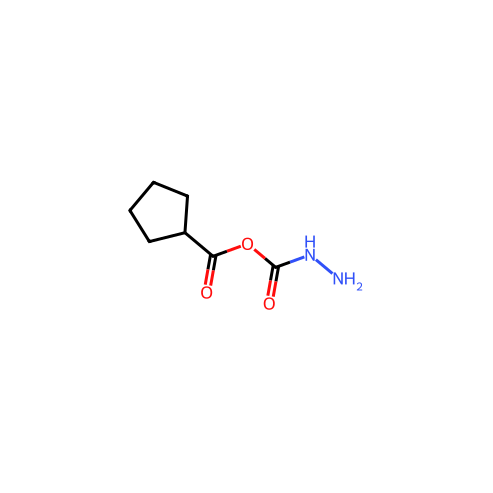 NNC(=O)OC(=O)C1CCCC1